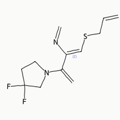 C=CCS/C=C(\N=C)C(=C)N1CCC(F)(F)C1